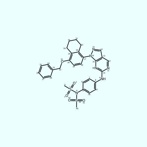 CS(=O)(=O)N(c1ccc(Nc2ncc3cnn(-c4ccc(OCc5ccccc5)c5c4CCCC5)c3n2)cc1)S(C)(=O)=O